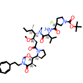 CC[C@H](C)[C@@H]([C@@H](CC(=O)N1CCC[C@H]1[C@H](OC)[C@@H](C)C(=O)NCCC1C=CC=CC=C1)OC)N(C)C(=O)[C@@H](NC(=O)[C@@]1(F)CCN(C(=O)OC(C)(C)C)C1)C(C)C